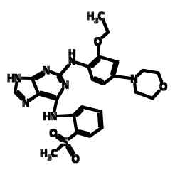 CCOc1cc(N2CCOCC2)ccc1Nc1nc(Nc2ccccc2S(C)(=O)=O)c2nc[nH]c2n1